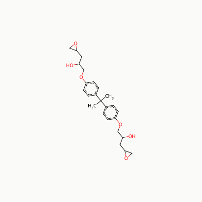 CC(C)(c1ccc(OCC(O)CC2CO2)cc1)c1ccc(OCC(O)CC2CO2)cc1